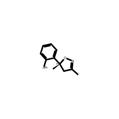 CCCc1ccccc1[C@@]1(C)CC(C)=NO1